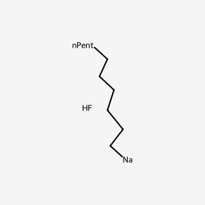 CCCCCCCCCC[CH2][Na].F